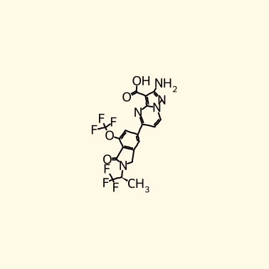 C[C@H](N1Cc2cc(-c3ccn4nc(N)c(C(=O)O)c4n3)cc(OC(F)(F)F)c2C1=O)C(F)(F)F